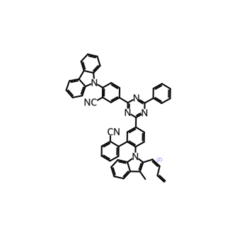 C=C/C=C\c1c(C)c2ccccc2n1-c1ccc(-c2nc(-c3ccccc3)nc(-c3ccc(-n4c5ccccc5c5ccccc54)c(C#N)c3)n2)cc1-c1ccccc1C#N